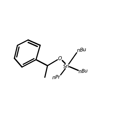 CCC[CH2][Sn]([CH2]CC)([CH2]CCC)[O]C(C)c1ccccc1